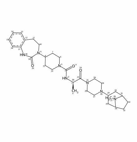 C[C@@H](NC(=O)N1CCC(N2CCc3ccccc3NC2=O)CC1)C(=O)N1CCN(C2CC3CCC(C2)N3C)CC1